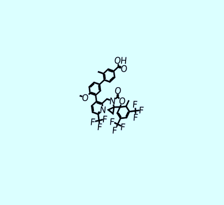 COc1ccc(-c2ccc(C(=O)O)cc2C)cc1-c1ccc(C(F)(F)F)nc1CN1C(=O)OC2(C=C(C(F)(F)F)C=C(C(F)(F)F)C2C)C12CC2